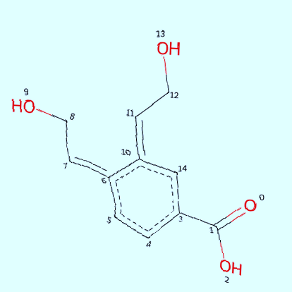 O=C(O)c1ccc(=CCO)c(=CCO)c1